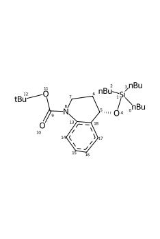 CCCC[Si](CCCC)(CCCC)O[C@H]1CCN(C(=O)OC(C)(C)C)c2ccccc21